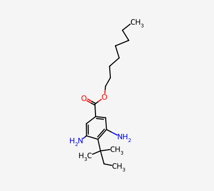 CCCCCCCCOC(=O)c1cc(N)c(C(C)(C)CC)c(N)c1